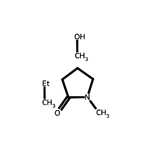 CCC.CN1CCCC1=O.CO